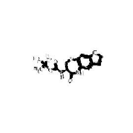 CC(C)(C)OC(=O)N[C@H]1CSc2cc3occc3cc2NC1=O